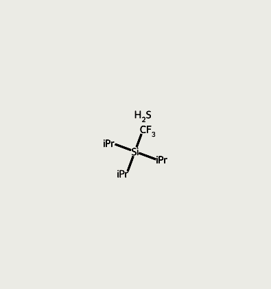 CC(C)[Si](C(C)C)(C(C)C)C(F)(F)F.S